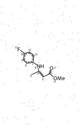 COC(=O)/C=C(/C)Nc1ccc(F)cc1